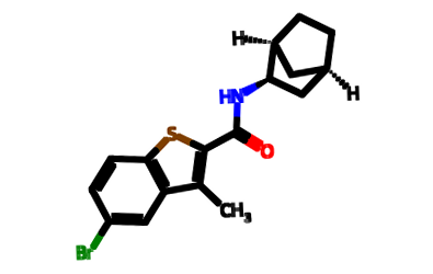 Cc1c(C(=O)N[C@@H]2C[C@@H]3CC[C@H]2C3)sc2ccc(Br)cc12